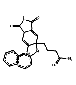 N=C(N)CCCC1(Nc2ccccc2)C=C2C(=O)NC(=O)C2C=C1Nc1ccccc1